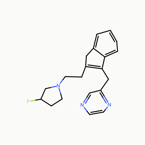 FC1CCN(CCC2=C(Cc3cnccn3)c3ccccc3C2)C1